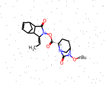 CC=C1C2C3C=CC(C3)C2C(=O)N1OC(=O)[C@@H]1CCC2CN1C(=O)N2OCCCC